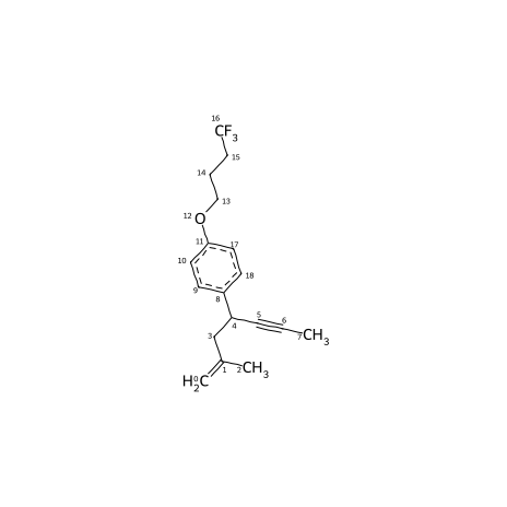 C=C(C)CC(C#CC)c1ccc(OCCCC(F)(F)F)cc1